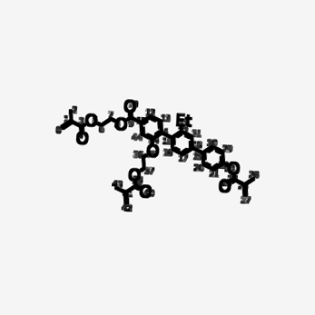 C=C(C)C(=O)OCCOC(=O)c1ccc(-c2ccc(-c3ccc(OC(=O)C(=C)C)cc3)cc2CC)c(OCCOC(=O)C(=C)C)c1